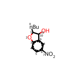 CCCCC1Oc2ccc([N+](=O)[O-])cc2C1O